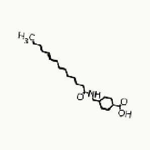 CCCC/C=C/CCCCCCCC(=O)NCC1CCC(C(=O)O)CC1